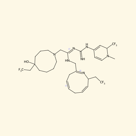 CN1C=CC(NC(=N)/N=C(/CN2CCCCC(O)(CC(F)(F)F)CCC2)NC/C2=N/C(CC(F)(F)F)C=CC/C=C\C2)=CC1C(F)(F)F